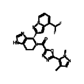 Cc1cnn(C)c1-c1nnc(C(=O)N2CCc3[nH]cnc3[C@@H]2c2cc3c(C(F)F)cccn3n2)o1